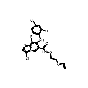 C=COCCONC(=O)c1cn2c(Cl)cnc2c(F)c1Nc1ccc(Cl)cc1Cl